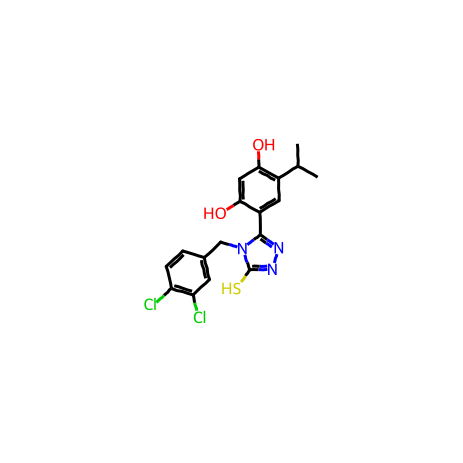 CC(C)c1cc(-c2nnc(S)n2Cc2ccc(Cl)c(Cl)c2)c(O)cc1O